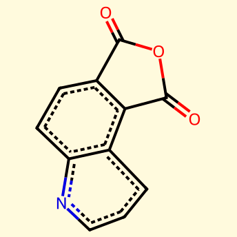 O=C1OC(=O)c2c1ccc1ncccc21